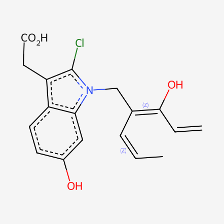 C=C/C(O)=C(\C=C/C)Cn1c(Cl)c(CC(=O)O)c2ccc(O)cc21